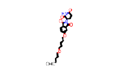 O=CCCCCOCCCCCOc1ccc2c(c1)C(=O)N(C1CCC(=O)NC1=O)C2=O